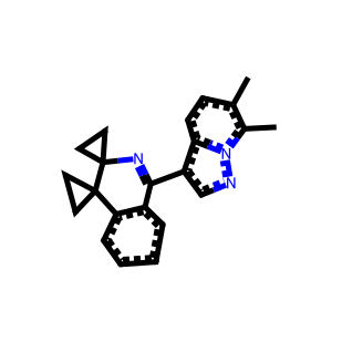 Cc1ccc2c(C3=NC4(CC4)C4(CC4)c4ccccc43)cnn2c1C